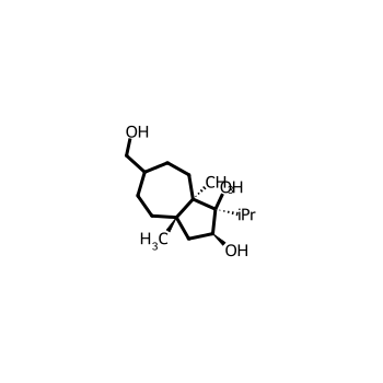 CC(C)[C@]1(O)[C@@H](O)C[C@]2(C)CCC(CO)CC[C@]21C